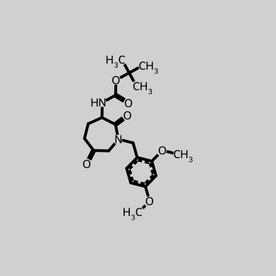 COc1ccc(CN2CC(=O)CCC(NC(=O)OC(C)(C)C)C2=O)c(OC)c1